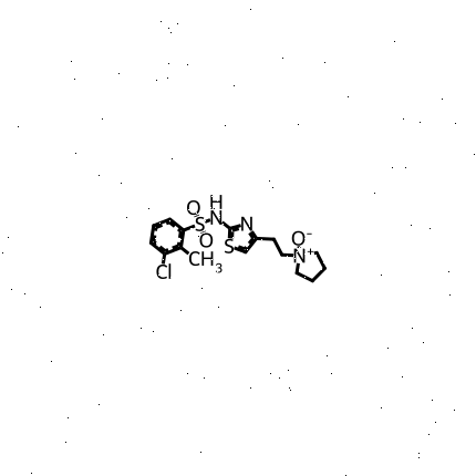 Cc1c(Cl)cccc1S(=O)(=O)Nc1nc(CC[N+]2([O-])CCCC2)cs1